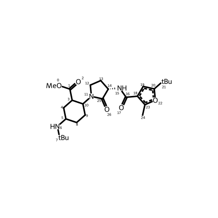 COC(=O)C1CC(NC(C)(C)C)CCC1N1CC[C@H](NC(=O)c2cc(C(C)(C)C)oc2C)C1=O